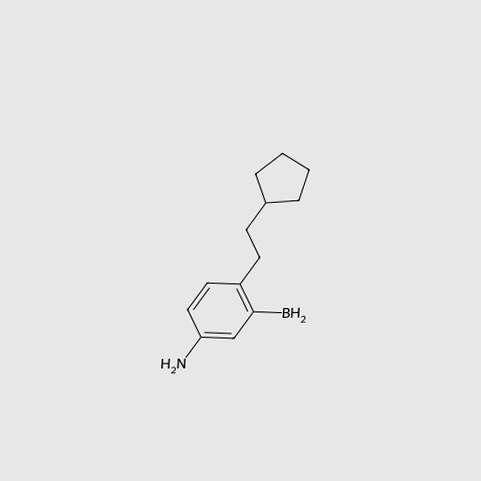 Bc1cc(N)ccc1CCC1CCCC1